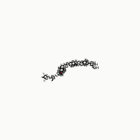 C=C1C[C@H](CC[C@@]23C[C@H]4O[C@H]5[C@@H](O2)[C@H]2OC(CC(=O)O[C@H]6CO[C@H]7C[C@H]8OC(C[C@@H]9O[C@@]%10(CC[C@@H]9O)C[C@H](C)[C@@H]9OC([C@@H](O)C[C@@H](O)CO)C[C@@H]9O%10)CC8OC7C6)CC[C@@H]2O[C@H]5[C@H]4O3)O[C@H]1CC[C@H]1C[C@@H](C)C(=C)[C@@H](C)O1